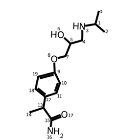 CC(C)NCC(O)COc1ccc(C(C)C(N)=O)cc1